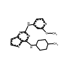 COc1cc(Nc2nc(NC3CCC(C)CC3)c3sccc3n2)ccn1